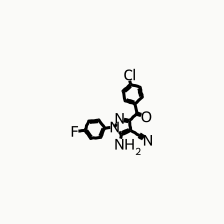 N#Cc1c(C(=O)c2ccc(Cl)cc2)nn(-c2ccc(F)cc2)c1N